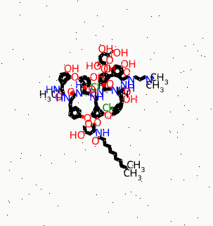 CN[C@H]1C(=O)NC2Cc3ccc(cc3)Oc3cc4cc(c3O[C@@H]3OCC(O)CC3NC(=O)CCCCCCCCC(C)C)Oc3ccc(cc3Cl)[C@@H](O)[C@@H]3NC(=O)[C@H](NC(=O)C4NC(=O)[C@H](NC2=O)c2cc(cc(O)c2Cl)Oc2cc1ccc2O)c1ccc(O)c(c1)-c1c(OC2O[C@H](CO)C(O)C[C@@H]2O)cc(O)cc1C(C(=O)NCCCN(C)C)NC3=O